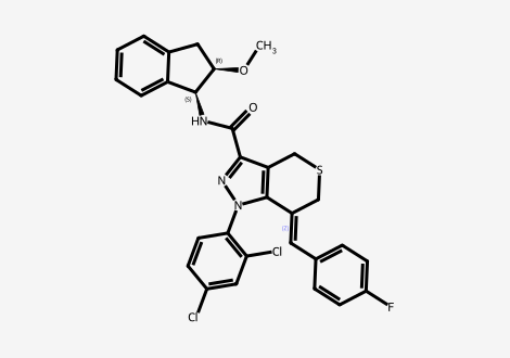 CO[C@@H]1Cc2ccccc2[C@@H]1NC(=O)c1nn(-c2ccc(Cl)cc2Cl)c2c1CSC/C2=C\c1ccc(F)cc1